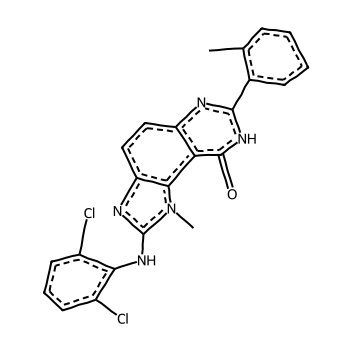 Cc1ccccc1-c1nc2ccc3nc(Nc4c(Cl)cccc4Cl)n(C)c3c2c(=O)[nH]1